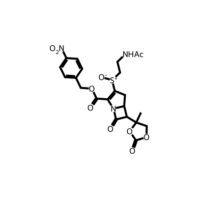 CC(=O)NCC[S+]([O-])C1=C(C(=O)OCc2ccc([N+](=O)[O-])cc2)N2C(=O)C(C3(C)COC(=O)O3)C2C1